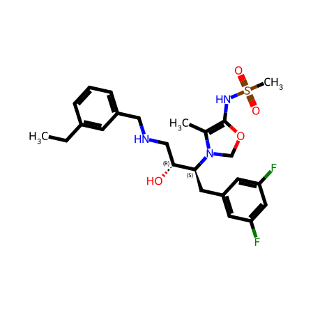 CCc1cccc(CNC[C@@H](O)[C@H](Cc2cc(F)cc(F)c2)N2COC(NS(C)(=O)=O)=C2C)c1